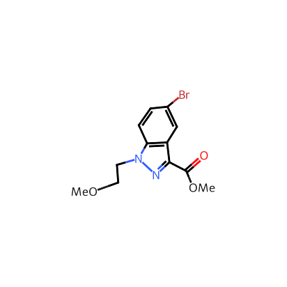 COCCn1nc(C(=O)OC)c2cc(Br)ccc21